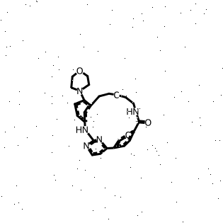 O=C1NCCCCCc2cc(ccc2N2CCOCC2)Nc2nccc(n2)-c2ccc1cc2